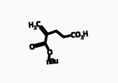 C=C(CCC(=O)O)C(=O)OCCCC